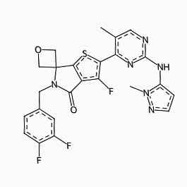 Cc1cnc(Nc2ccnn2C)nc1-c1sc2c(c1F)C(=O)N(Cc1ccc(F)c(F)c1)C21COC1